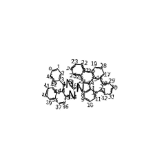 c1ccc(-c2nc(-n3c4cccc5c4c4c6c(cccc6c6ccccc6c43)-c3ccccc3-5)nc3ccc4ccccc4c23)cc1